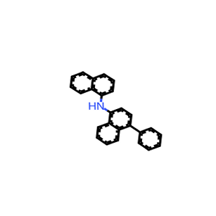 c1ccc(-c2ccc(Nc3cccc4ccccc34)c3ccccc23)cc1